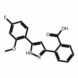 COc1cc(F)ccc1-c1cc(-c2ccccc2C(=O)O)n[nH]1